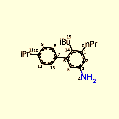 CCCc1cc(N)cc(-c2ccc(C(C)C)cc2)c1C(C)CC